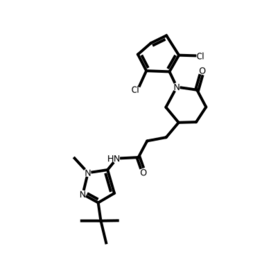 Cn1nc(C(C)(C)C)cc1NC(=O)CCC1CCC(=O)N(c2c(Cl)cccc2Cl)C1